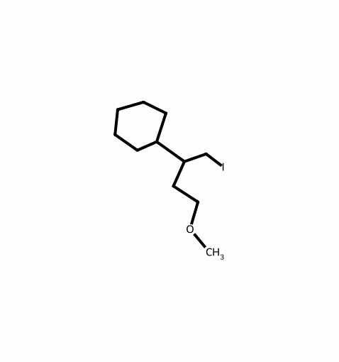 COCCC(CI)C1CCCCC1